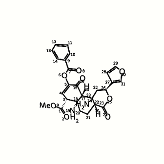 COC(=O)[C@@H]1C=C(OC(=O)c2ccccc2)C(=O)[C@H]2[C@@]1(N)CC[C@H]1C(=O)O[C@H](c3ccoc3)C[C@]21N